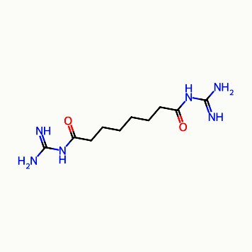 N=C(N)NC(=O)CCCCCCC(=O)NC(=N)N